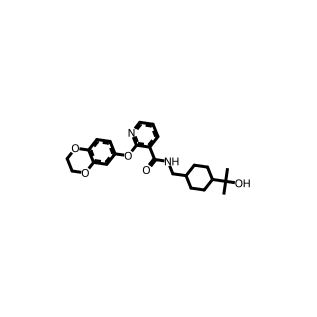 CC(C)(O)C1CCC(CNC(=O)c2cccnc2Oc2ccc3c(c2)OCCO3)CC1